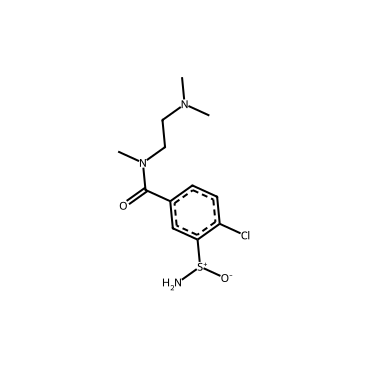 CN(C)CCN(C)C(=O)c1ccc(Cl)c([S+](N)[O-])c1